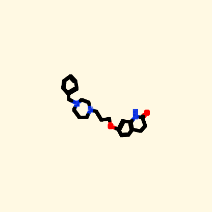 O=C1CCc2ccc(OCCCN3CCCN(Cc4ccccc4)CC3)cc2N1